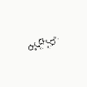 CN1CCN(C)C(COc2nccc(C(C#N)=C3Nc4ccccc4S3)n2)C1